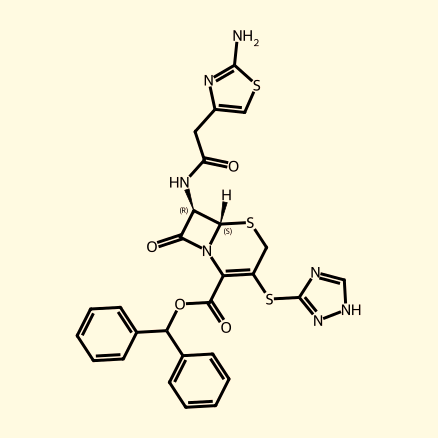 Nc1nc(CC(=O)N[C@@H]2C(=O)N3C(C(=O)OC(c4ccccc4)c4ccccc4)=C(Sc4nc[nH]n4)CS[C@@H]23)cs1